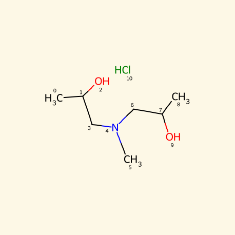 CC(O)CN(C)CC(C)O.Cl